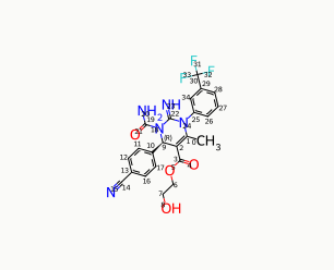 CC1=C(C(=O)OCCO)[C@@H](c2ccc(C#N)cc2)N(C(N)=O)C(=N)N1c1cccc(C(F)(F)F)c1